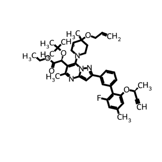 C#C[C@H](C)Oc1cc(C)cc(F)c1-c1cccc(-c2cc3nc(C)c([C@H](OC(C)(C)C)C(=O)OCC)c(N4CCC(C)(OCC=C)CC4)n3n2)c1